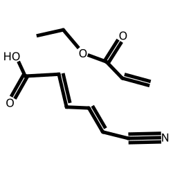 C=CC(=O)OCC.N#CC=CC=CC(=O)O